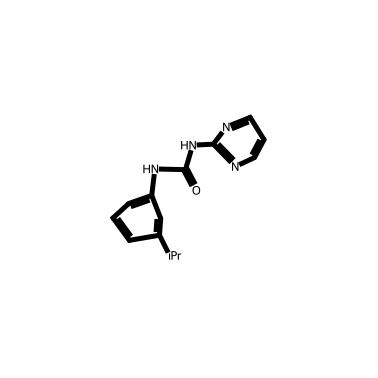 CC(C)c1cccc(NC(=O)Nc2ncccn2)c1